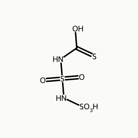 O=S(=O)(O)NS(=O)(=O)NC(O)=S